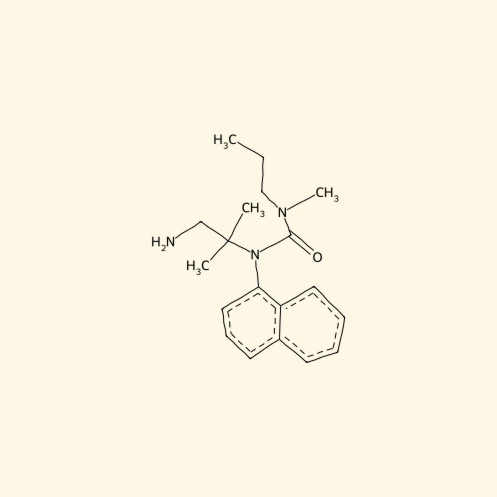 CCCN(C)C(=O)N(c1cccc2ccccc12)C(C)(C)CN